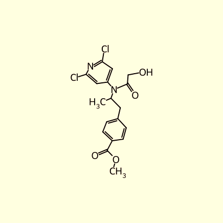 COC(=O)c1ccc(CC(C)N(C(=O)CO)c2cc(Cl)nc(Cl)c2)cc1